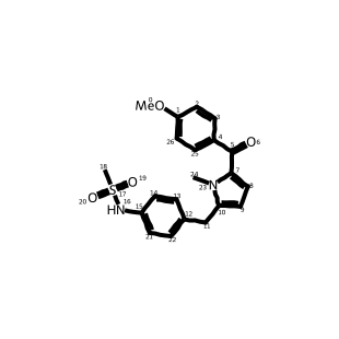 COc1ccc(C(=O)c2ccc(Cc3ccc(NS(C)(=O)=O)cc3)n2C)cc1